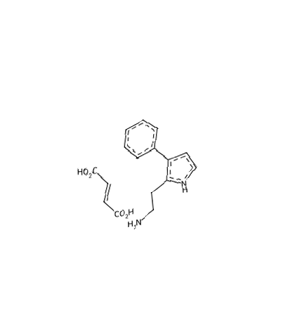 NCCc1[nH]ccc1-c1ccccc1.O=C(O)/C=C/C(=O)O